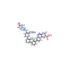 COc1nc(-c2cccc(-c3cccc(-c4ccn5c(=O)c(CN(C)C[C@H](C)O)cnc5c4)c3Cl)c2Cl)ccc1CNC[C@H]1CCC(=O)N1